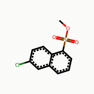 [CH2]OS(=O)(=O)c1cccc2cc(Cl)ccc12